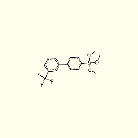 CO[Si](OC)(OC)c1ccc(-c2cccc(C(F)(F)F)c2)cc1